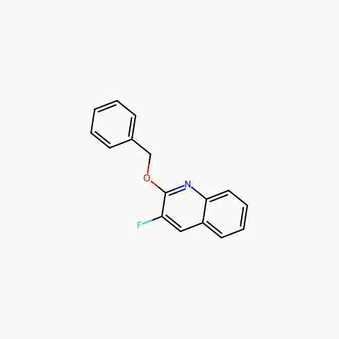 Fc1cc2ccccc2nc1OCc1ccccc1